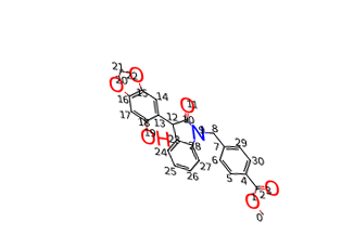 COC(=O)c1ccc(CN2C(=O)C(c3cc4c(cc3O)OCO4)c3ccccc32)cc1